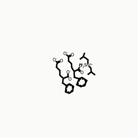 CC(C)[CH2][SnH2+4][CH2]C(C)C.O=C([O-])CCCC(Cc1ccccc1)C(=O)[O-].O=C([O-])CCCC(Cc1ccccc1)C(=O)[O-]